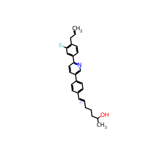 C=CCc1ccc(-c2ccc(-c3ccc(/C=C/CCCC(C)O)cc3)cn2)cc1F